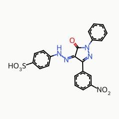 O=C1C(=NNc2ccc(S(=O)(=O)O)cc2)C(c2cccc([N+](=O)[O-])c2)=NN1c1ccccc1